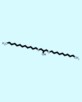 CCCCCCCCCCCCSCC(O)COCCCCCCCCCC